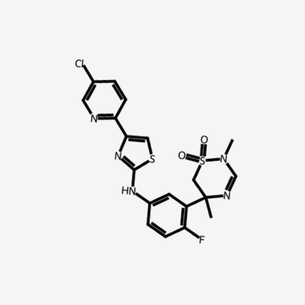 CN1C=NC(C)(c2cc(Nc3nc(-c4ccc(Cl)cn4)cs3)ccc2F)CS1(=O)=O